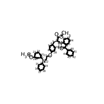 COC(=O)[C@H](Cc1ccc(OCCN(c2ccccc2)c2cccc(OC)c2)cc1)Nc1ccccc1C(=O)c1ccccc1